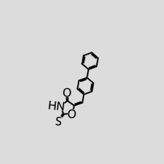 O=C1NC(=S)OC1=Cc1ccc(-c2ccccc2)cc1